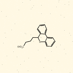 CCOC(=O)CCCC1Oc2ccccc2-c2ccccc21